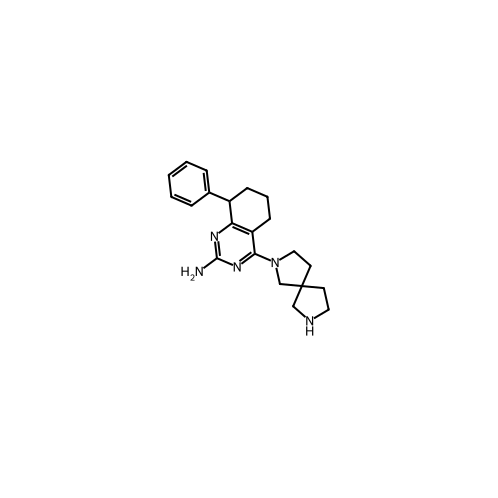 Nc1nc2c(c(N3CCC4(CCNC4)C3)n1)CCCC2c1ccccc1